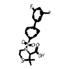 CC1(C)SCCN(S(=O)(=O)c2ccc(-c3cc(F)cc(F)c3)cc2)C1C(=O)O